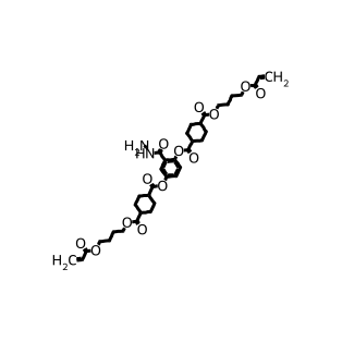 C=CC(=O)OCCCCOC(=O)C1CCC(C(=O)Oc2ccc(OC(=O)C3CCC(C(=O)OCCCCOC(=O)C=C)CC3)c(C(=O)NN)c2)CC1